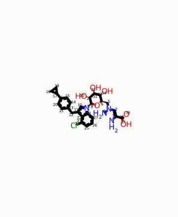 N/C(=C\N(N)C[C@H]1O[C@@H](n2cc(Cc3ccc(C4CC4)cc3)c3c(Cl)cccc32)[C@H](O)[C@@H](O)[C@@H]1O)C(=O)O